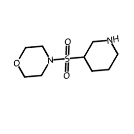 O=S(=O)(C1CCCNC1)N1CCOCC1